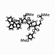 CNC(=O)OC/C=C\C1=C(C(=O)OCc2ccc(OC)cc2)N2C(=O)C(NC(=O)/C(=N\OC)c3csc(NC(c4ccccc4)(c4ccccc4)c4ccccc4)n3)[C@@H]2SC1